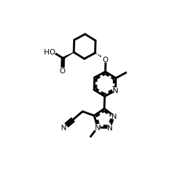 Cc1nc(-c2nnn(C)c2CC#N)ccc1O[C@H]1CCC[C@H](C(=O)O)C1